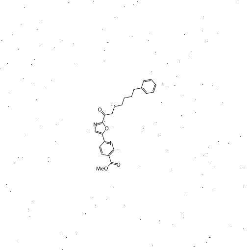 COC(=O)c1ccc(-c2cnc(C(=O)CCCCCCc3ccccc3)o2)nc1